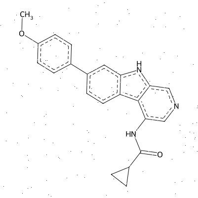 COc1ccc(-c2ccc3c(c2)[nH]c2cncc(NC(=O)C4CC4)c23)cc1